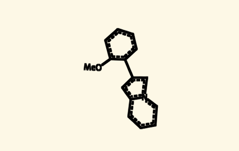 COc1ccccc1-c1cc2ccccn2c1